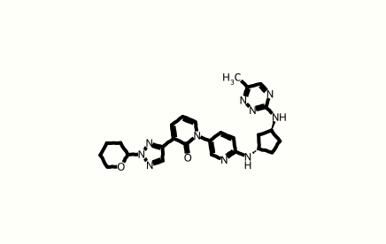 Cc1cnc(N[C@H]2CC[C@H](Nc3ccc(-n4cccc(-c5cnn(C6CCCCO6)n5)c4=O)cn3)C2)nn1